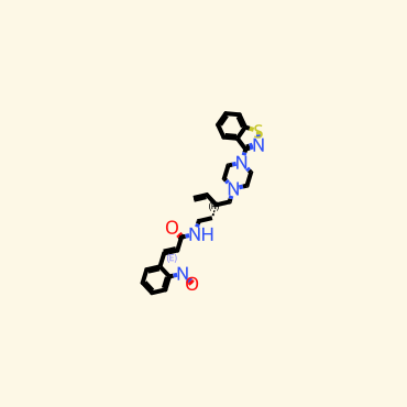 C=C[C@@H](CCNC(=O)/C=C/c1ccccc1N=O)CN1CCN(c2nsc3ccccc23)CC1